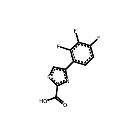 O=C(O)c1nc(-c2ccc(F)c(F)c2F)cs1